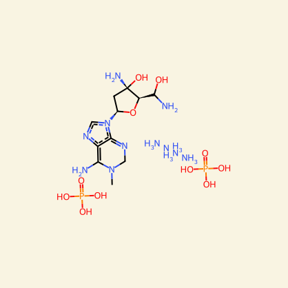 CN1CN=c2c(ncn2[C@H]2C[C@](N)(O)[C@@H](C(N)O)O2)=C1N.N.N.N.N.O=P(O)(O)O.O=P(O)(O)O